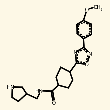 COc1ccc(-c2noc(C3CCC(C(=O)NCC4CCNC4)CC3)n2)cc1